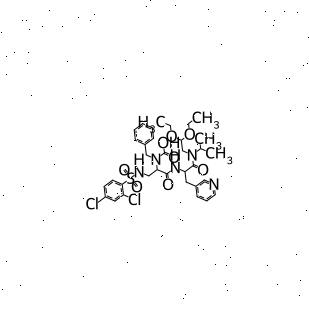 CCOC(CN(C(=O)C(Cc1cccnc1)NC(=O)C(CNS(=O)(=O)c1ccc(Cl)cc1Cl)N(Cc1ccccc1)C(=O)O)C(C)C)OCC